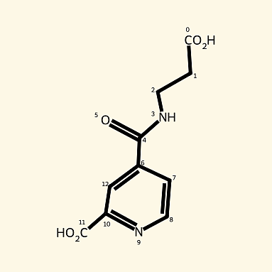 O=C(O)CCNC(=O)c1ccnc(C(=O)O)c1